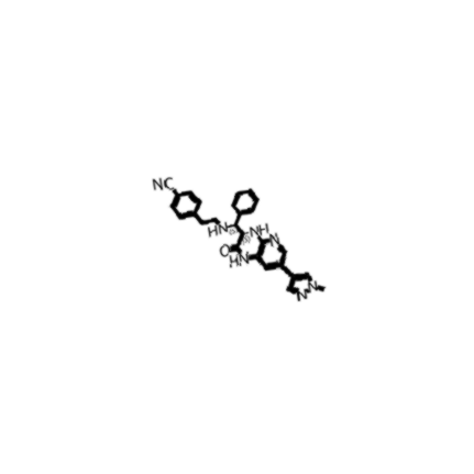 Cn1cc(-c2cnc3c(c2)NC(=O)[C@H]([C@@H](NCCc2ccc(C#N)cc2)c2ccccc2)N3)cn1